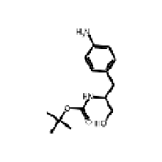 CC(C)(C)OC(=O)NC(CO)Cc1ccc(N)cc1